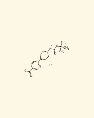 CC(C)(C)OC(=O)NC1CCN(c2ccc(C(=O)[O-])cn2)CC1.[Li+]